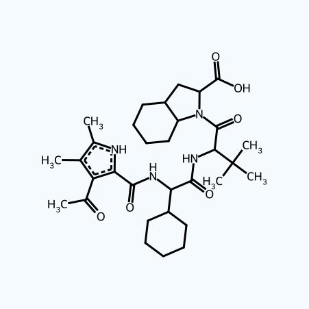 CC(=O)c1c(C(=O)NC(C(=O)NC(C(=O)N2C(C(=O)O)CC3CCCCC32)C(C)(C)C)C2CCCCC2)[nH]c(C)c1C